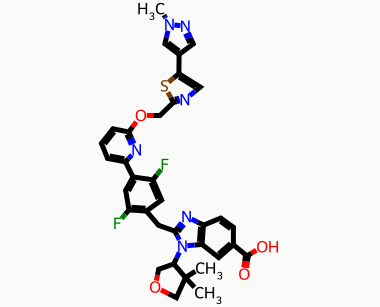 Cn1cc(-c2cnc(COc3cccc(-c4cc(F)c(Cc5nc6ccc(C(=O)O)cc6n5C5COCC5(C)C)cc4F)n3)s2)cn1